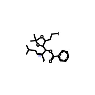 CC(C)C/C=C(/F)C(OC(=O)c1ccccc1)C1OC(C)(C)OC1CCI